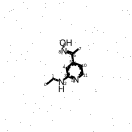 CCNc1cc(C(C)=NO)ccn1